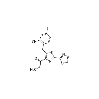 COC(=O)c1nc(-c2ncco2)sc1Cc1ccc(F)cc1Cl